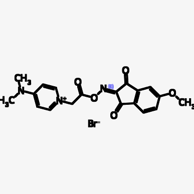 COc1ccc2c(=O)/c(=N\OC(=O)C[n+]3ccc(N(C)C)cc3)c(=O)c2c1.[Br-]